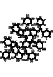 c1ccc(N(c2ccccc2)c2cc3c4c(c2)N(c2ccccc2)c2c(sc5ccccc25)B4c2cc4c(cc2N3c2ccccc2)N(c2ccccc2)c2cccc3c2B4c2sc4ccccc4c2N3c2ccccc2)cc1